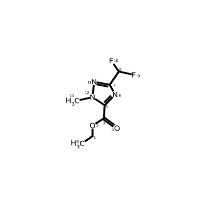 CCOC(=O)c1nc(C(F)F)nn1C